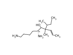 CC=CC(C)(C(C)CC)C(O)[C@H](N)CCCCN